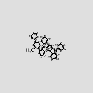 Cc1cc(-c2ccccc2)cc([Si](c2ccccc2)(c2ccc3c(c2)c2ccccc2n3-c2ccccc2)C2C=CC=CC2)c1